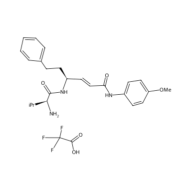 COc1ccc(NC(=O)C=C[C@H](CCc2ccccc2)NC(=O)[C@@H](N)C(C)C)cc1.O=C(O)C(F)(F)F